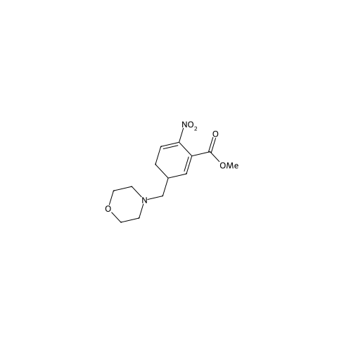 COC(=O)C1=CC(CN2CCOCC2)CC=C1[N+](=O)[O-]